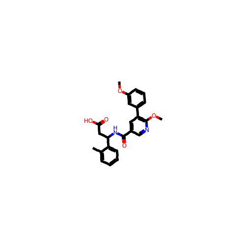 COc1cccc(-c2cc(C(=O)NC(CC(=O)O)c3ccccc3C)cnc2OC)c1